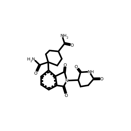 NC(=O)C1CCC(C(N)=O)(c2cccc3c2C(=O)N(C2CCC(=O)NC2=O)C3=O)CC1